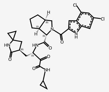 O=C(NC1CC1)C(=O)[C@H](C[C@@H]1CC2(CC2)NC1=O)NC(=O)[C@@H]1[C@H]2CCC[C@H]2CN1C(=O)c1cc2c(Cl)cc(Cl)cc2[nH]1